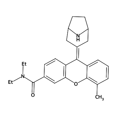 CCN(CC)C(=O)c1ccc2c(c1)Oc1c(C)cccc1C2=C1CC2CCC(C1)N2